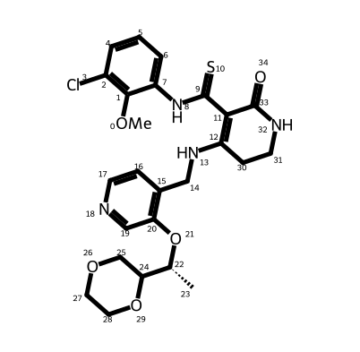 COc1c(Cl)cccc1NC(=S)C1=C(NCc2ccncc2O[C@H](C)C2COCCO2)CCNC1=O